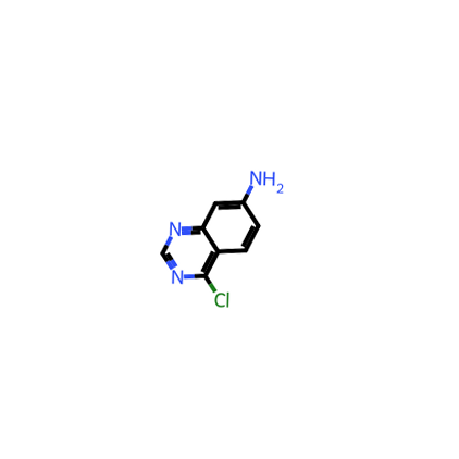 Nc1ccc2c(Cl)ncnc2c1